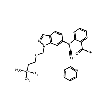 C#CN(c1ccc2cnn(COCC[Si](C)(C)C)c2c1)c1ccccc1C(=O)O.c1ccncc1